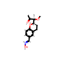 CO[C@](C)(C(C)=O)[C@H]1CCc2cc(/C=N/O)ccc2O1